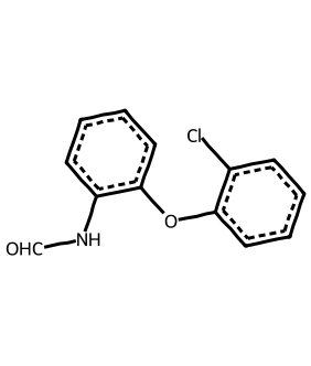 O=CNc1ccccc1Oc1ccccc1Cl